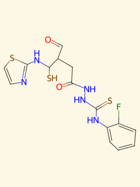 O=CC(CC(=O)NNC(=S)Nc1ccccc1F)C(S)Nc1nccs1